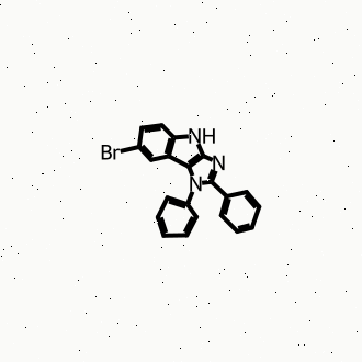 Brc1ccc2[nH]c3nc(-c4ccccc4)n(-c4ccccc4)c3c2c1